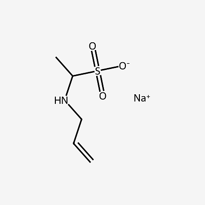 C=CCNC(C)S(=O)(=O)[O-].[Na+]